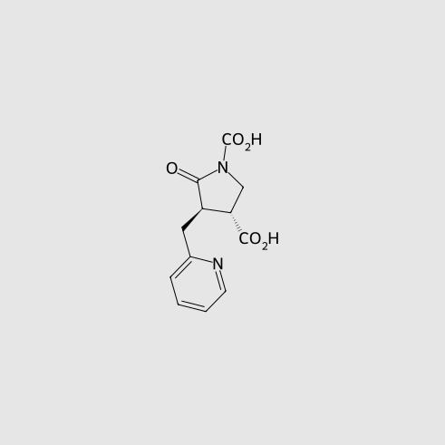 O=C(O)[C@H]1CN(C(=O)O)C(=O)[C@@H]1Cc1ccccn1